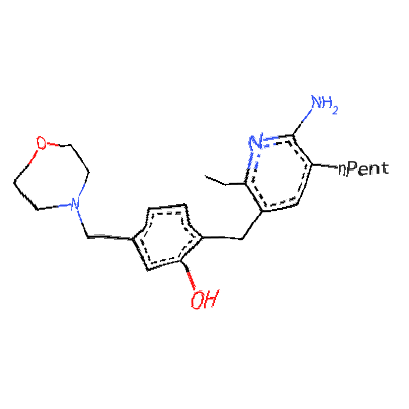 CCCCCc1cc(Cc2ccc(CN3CCOCC3)cc2O)c(C)nc1N